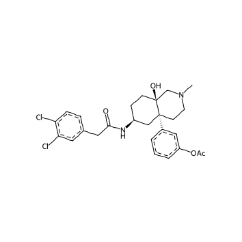 CC(=O)Oc1cccc([C@@]23CCN(C)C[C@@]2(O)CC[C@H](NC(=O)Cc2ccc(Cl)c(Cl)c2)C3)c1